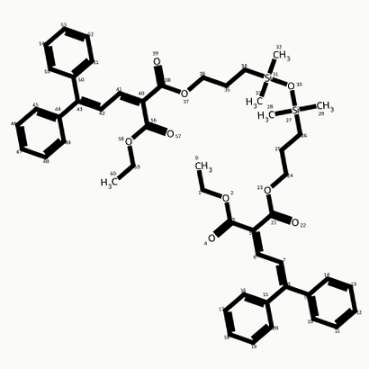 CCOC(=O)/C(=C/C=C(c1ccccc1)c1ccccc1)C(=O)OCCC[Si](C)(C)O[Si](C)(C)CCCOC(=O)/C(=C/C=C(c1ccccc1)c1ccccc1)C(=O)OCC